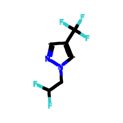 FC(F)Cn1[c]c(C(F)(F)F)[c]n1